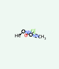 C#Cc1cccc(NC(=O)c2ccc(N3CCN(C)CC3)c(C(F)(F)F)c2)c1